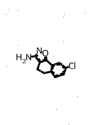 Nc1noc2c1CCc1ccc(Cl)cc1-2